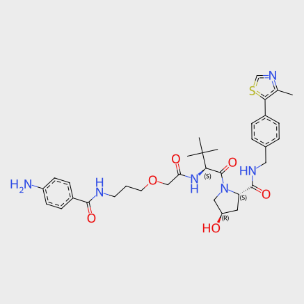 Cc1ncsc1-c1ccc(CNC(=O)[C@@H]2C[C@@H](O)CN2C(=O)[C@@H](NC(=O)COCCCNC(=O)c2ccc(N)cc2)C(C)(C)C)cc1